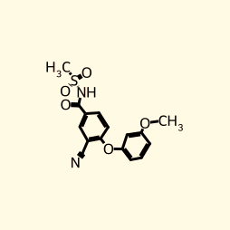 COc1cccc(Oc2ccc(C(=O)NS(C)(=O)=O)cc2C#N)c1